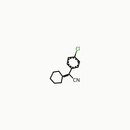 N#CC(=C1CCCCC1)c1ccc(Cl)cc1